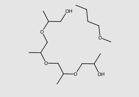 CC(O)COC(C)COC(C)COC(C)CO.CCCCOC